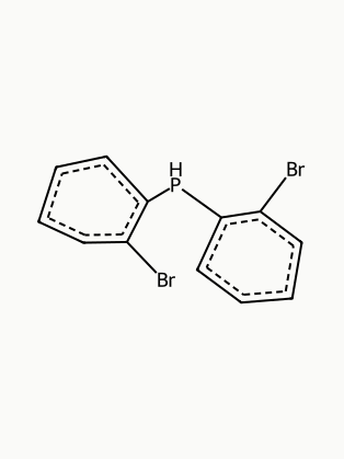 Brc1ccccc1Pc1ccccc1Br